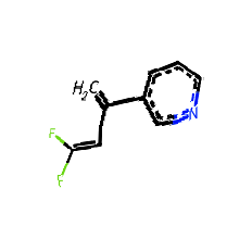 C=C(C=C(F)F)c1cc[c]nc1